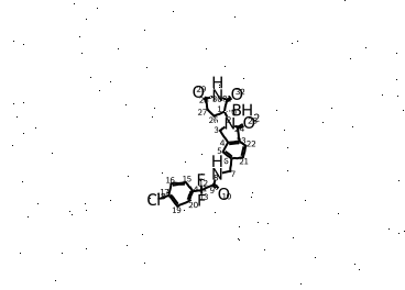 B[C@]1(N2Cc3cc(CNC(=O)C(F)(F)c4ccc(Cl)cc4)ccc3C2=O)CCC(=O)NC1=O